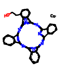 OCCc1cccc2c3nc4nc(nc5[nH]c(nc6nc(nc([nH]3)c12)-c1ccccc1-6)c1ccccc51)-c1ccccc1-4.[Co]